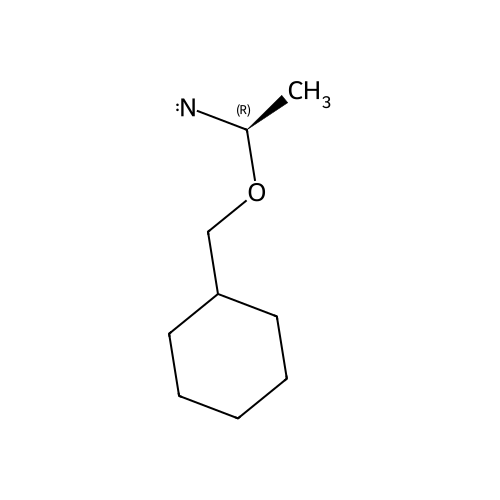 C[C@H]([N])OCC1CCCCC1